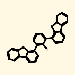 Ic1c(-c2cccc3c2sc2ccccc23)cccc1-c1cccc2c1sc1ccccc12